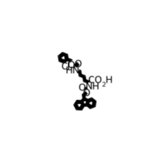 O=C(NCCCC[C@@H](NC(=O)OCC1c2ccccc2-c2ccccc21)C(=O)O)OCc1ccccc1Cl